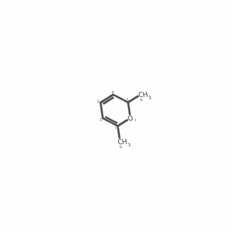 CC1=C[C]=CC(C)O1